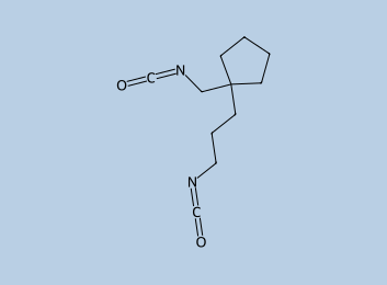 O=C=NCCCC1(CN=C=O)CCCC1